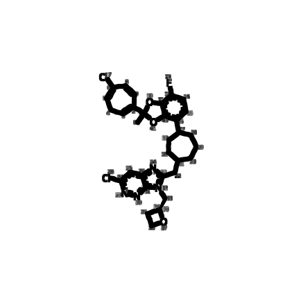 CC1(C2=CCC=C(Cl)C=C2)Oc2c(F)ccc(C3CCCC(Cc4nc5cc(Cl)nnc5n4C[C@@H]4CCO4)CC3)c2O1